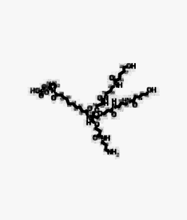 NCCCNC(=O)CCOCC(COCCC(=O)NCCCNC(=O)CCCCO)(COCCC(=O)NCCCNC(=O)CCCCO)NC(=O)CCCCCCCCC(=O)N1CCC[C@H]1OP(=O)(O)O